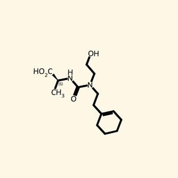 C[C@H](NC(=O)N(CCO)CCC1=CCCCC1)C(=O)O